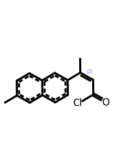 C/C(=C/C(=O)Cl)c1ccc2cc(C)ccc2c1